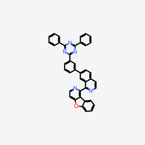 c1ccc(-c2nc(-c3ccccc3)nc(-c3cccc(-c4ccc5ccnc(-c6nccc7oc8ccccc8c67)c5c4)c3)n2)cc1